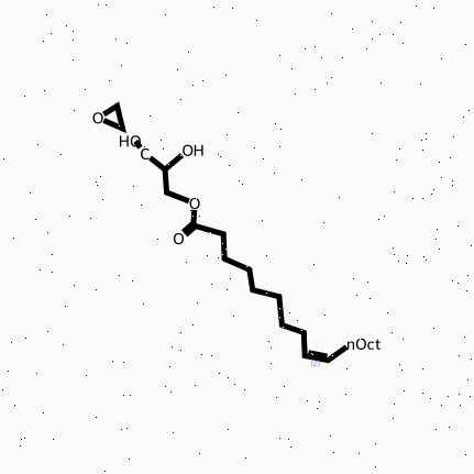 C1CO1.CCCCCCCC/C=C\CCCCCCCC(=O)OCC(O)CO